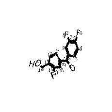 O=C(c1ccc(F)c(F)c1)c1ccc(CO)c(F)c1